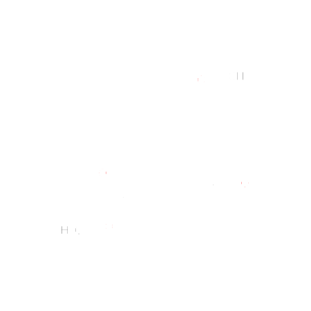 COC(=O)C1CCC(=O)c2cc(OC)ccc21